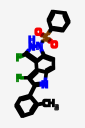 Cc1ccccc1-c1nc2ccc3c(c(F)[nH]n3S(=O)(=O)c3ccccc3)c2c1F